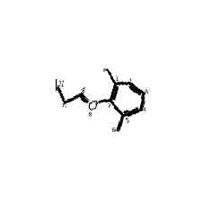 Cc1cccc(C)c1OCCI